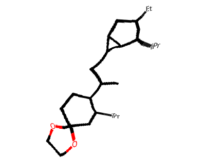 CCC1CC2C(CC(C)C3CCC4(CC3C(C)C)OCCO4)C2C1C(C)C